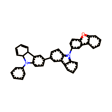 C1=CC2c3cc(-c4ccc5c(c4)c4ccccc4n5-c4ccc5oc6ccccc6c5c4)ccc3N(c3ccccc3)C2C=C1